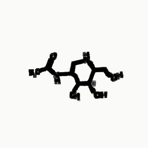 CC(=O)NC1CNC(CO)[C@@H](O)C1O